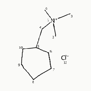 C[N+](C)(C)CC1CCCCC1.[Cl-]